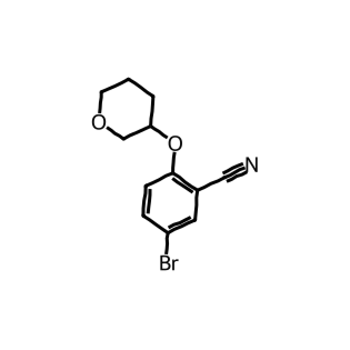 N#Cc1cc(Br)ccc1OC1CCCOC1